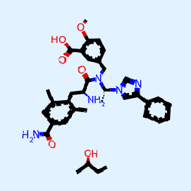 CCC(C)O.COc1ccc(CN(C(=O)[C@@H](N)Cc2c(C)cc(C(N)=O)cc2C)[C@@H](C)n2cnc(-c3ccccc3)c2)cc1C(=O)O